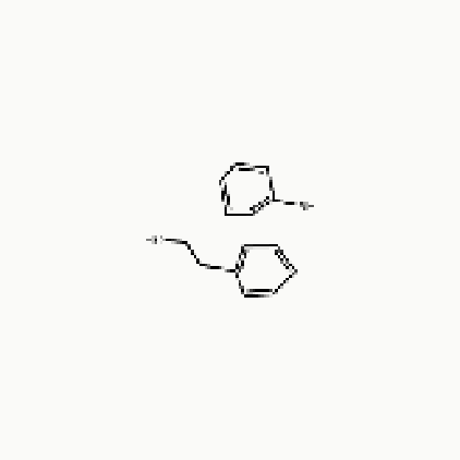 OCCc1ccccc1.Sc1ccccc1